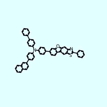 c1ccc(-c2ccc(N(c3ccc(-c4ccc5ccccc5c4)cc3)c3ccc(-c4ccc5c(c4)oc4cc6nc(-c7ccccc7)sc6cc45)cc3)cc2)cc1